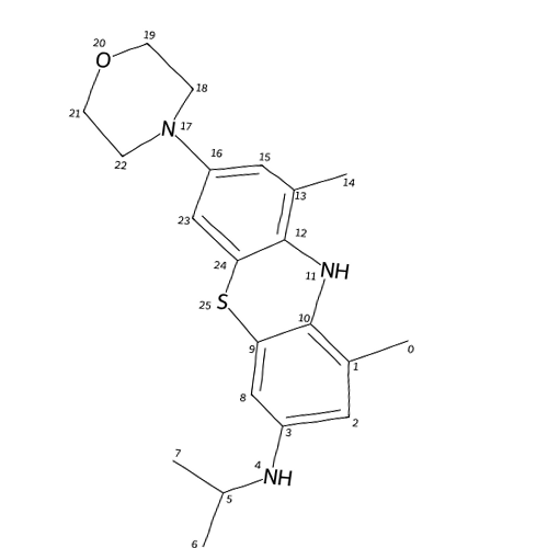 Cc1cc(NC(C)C)cc2c1Nc1c(C)cc(N3CCOCC3)cc1S2